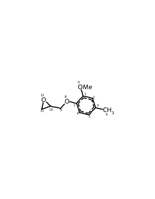 COc1cc(C)ccc1OCC1CO1